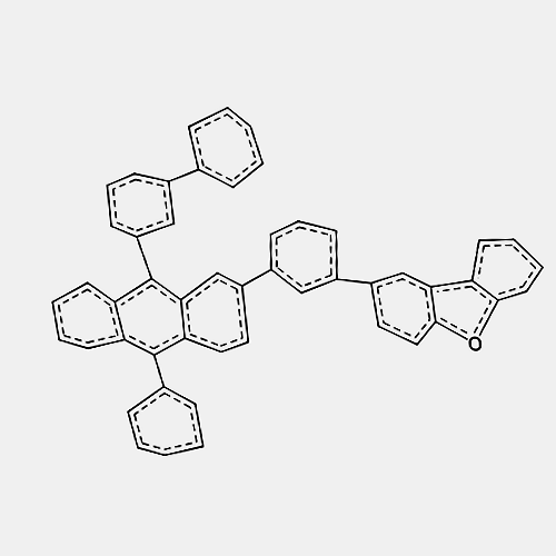 c1ccc(-c2cccc(-c3c4ccccc4c(-c4ccccc4)c4ccc(-c5cccc(-c6ccc7oc8ccccc8c7c6)c5)cc34)c2)cc1